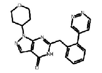 O=c1[nH]c(Cc2ccccc2-c2ccnnc2)nc2c1cnn2C1CCOCC1